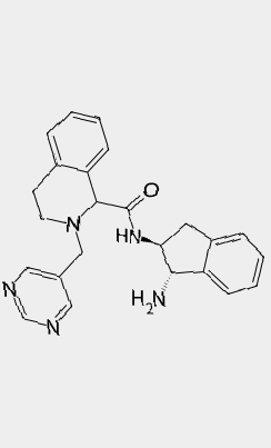 N[C@H]1c2ccccc2C[C@@H]1NC(=O)C1c2ccccc2CCN1Cc1cncnc1